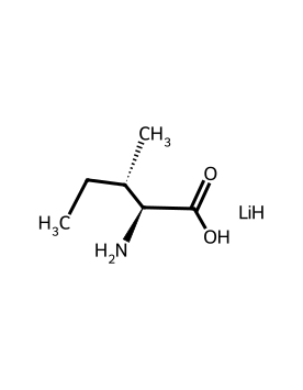 CC[C@H](C)[C@H](N)C(=O)O.[LiH]